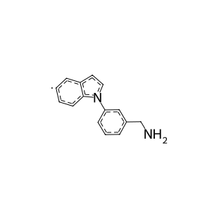 NCc1cccc(-n2ccc3c[c]ccc32)c1